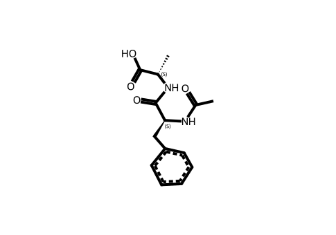 CC(=O)N[C@@H](Cc1ccccc1)C(=O)N[C@@H](C)C(=O)O